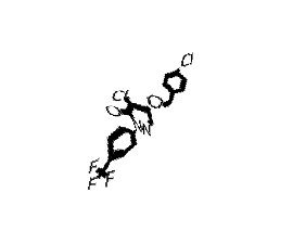 O=c1c(Cl)c(OCc2ccc(Cl)cc2)cnn1-c1ccc(C(F)(F)F)cc1